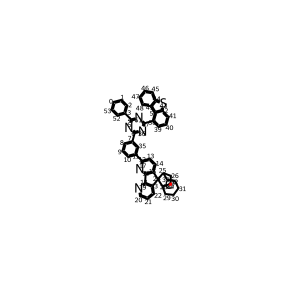 c1ccc(-c2nc(-c3cccc(-c4ccc5c(n4)-c4ncccc4C54C5CCC46CCCC(C5)C6)c3)nc(-c3cccc4sc5ccccc5c34)n2)cc1